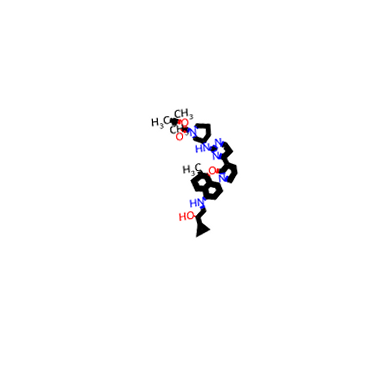 Cc1ccc2c(NC[C@@H](O)C3CC3)cccc2c1Oc1ncccc1-c1ccnc(NC2CCCN(C(=O)OC(C)(C)C)C2)n1